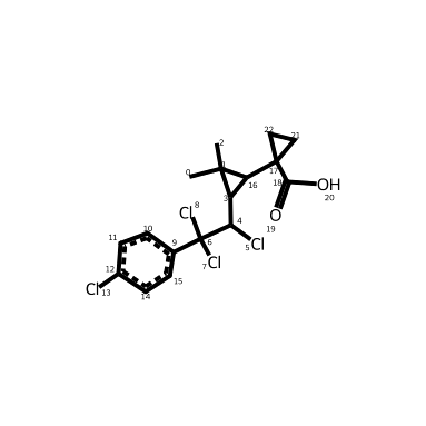 CC1(C)C(C(Cl)C(Cl)(Cl)c2ccc(Cl)cc2)C1C1(C(=O)O)CC1